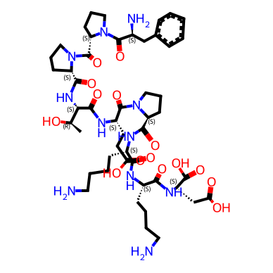 C[C@@H](O)[C@H](NC(=O)[C@@H]1CCCN1C(=O)[C@@H]1CCCN1C(=O)[C@@H](N)Cc1ccccc1)C(=O)N[C@@H](CCC(=O)O)C(=O)N1CCC[C@H]1C(=O)N[C@@H](CCCCN)C(=O)N[C@@H](CCCCN)C(=O)N[C@@H](CC(=O)O)C(=O)O